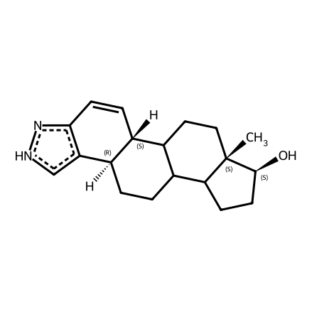 C[C@]12CCC3C(CC[C@H]4c5c[nH]nc5C=C[C@H]34)C1CC[C@@H]2O